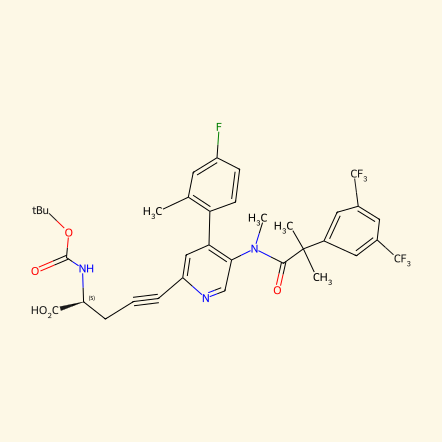 Cc1cc(F)ccc1-c1cc(C#CC[C@H](NC(=O)OC(C)(C)C)C(=O)O)ncc1N(C)C(=O)C(C)(C)c1cc(C(F)(F)F)cc(C(F)(F)F)c1